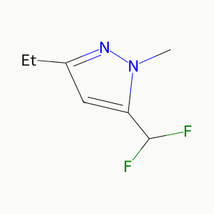 CCc1cc(C(F)F)n(C)n1